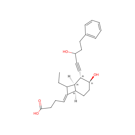 CCC1C(=CCCC(=O)O)[C@@H]2CC[C@H](O)[C@@H](C#CC(O)CCc3ccccc3)[C@H]12